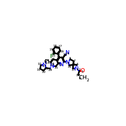 C=CC(=O)N1CC2(CCN(c3nc4c(c(-c5ccccc5F)c3C#N)CCN(CC3CCCN3C)C4)C2)C1